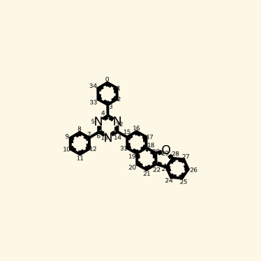 c1ccc(-c2nc(-c3ccccc3)nc(-c3ccc4c(ccc5c6ccccc6oc45)c3)n2)cc1